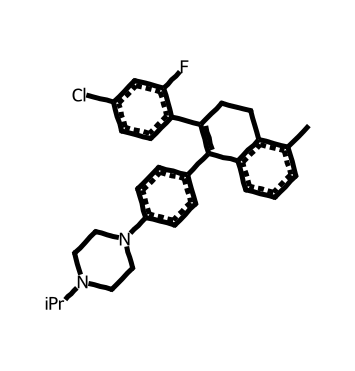 Cc1cccc2c1CCC(c1ccc(Cl)cc1F)=C2c1ccc(N2CCN(C(C)C)CC2)cc1